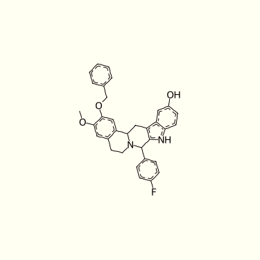 COc1cc2c(cc1OCc1ccccc1)C1Cc3c([nH]c4ccc(O)cc34)C(c3ccc(F)cc3)N1CC2